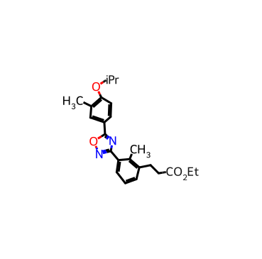 CCOC(=O)CCc1cccc(-c2noc(-c3ccc(OC(C)C)c(C)c3)n2)c1C